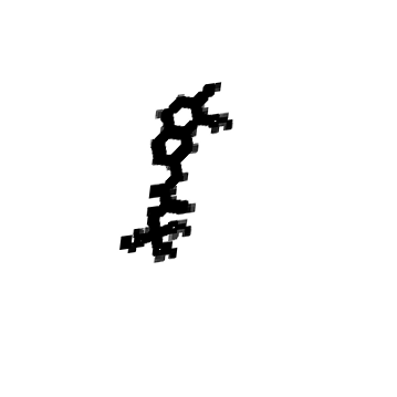 CN1C(=O)COc2ccc(CNC(=O)OC(C)(C)C)cc21